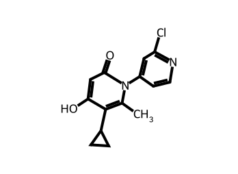 Cc1c(C2CC2)c(O)cc(=O)n1-c1ccnc(Cl)c1